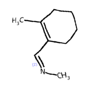 C/N=C\C1=C(C)CCCC1